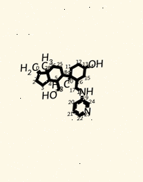 C=C1CCC2C(CO)C(C3(C)CCC(O)CC3CNc3cccnc3)CCC12C